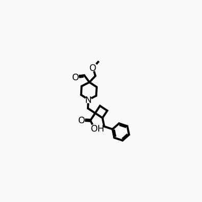 COCC1(C=O)CCN(CC2(C(=O)O)CCC2Cc2ccccc2)CC1